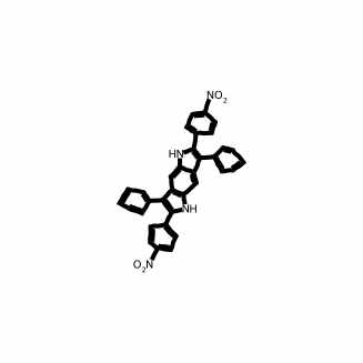 O=[N+]([O-])c1ccc(-c2[nH]c3cc4c(-c5ccccc5)c(-c5ccc([N+](=O)[O-])cc5)[nH]c4cc3c2-c2ccccc2)cc1